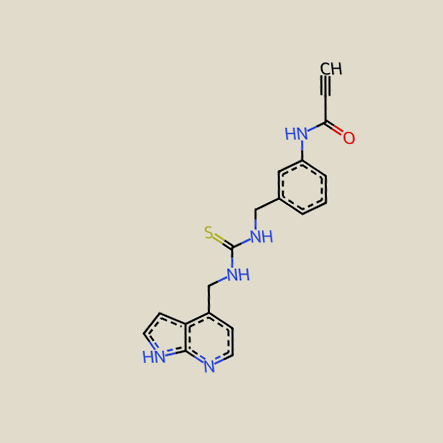 C#CC(=O)Nc1cccc(CNC(=S)NCc2ccnc3[nH]ccc23)c1